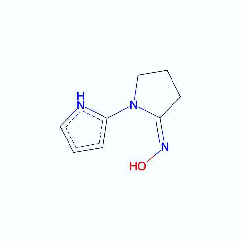 ON=C1CCCN1c1ccc[nH]1